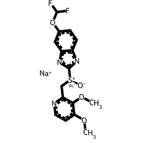 COc1ccnc(C[S@+]([O-])c2nc3ccc(OC(F)F)cc3[n-]2)c1OC.[Na+]